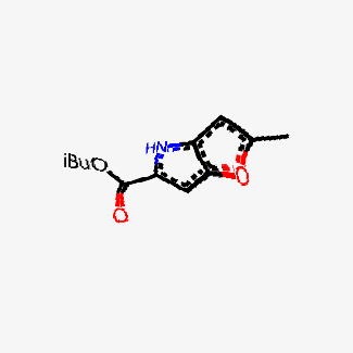 Cc1cc2[nH]c(C(=O)OCC(C)C)cc2o1